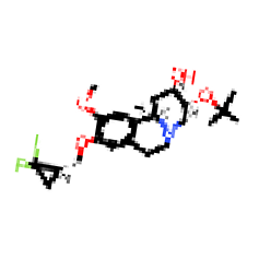 COc1cc2c(cc1OC[C@@H]1CC1(F)F)CCN1C[C@@H](OC(C)(C)C)[C@H](O)C[C@H]21